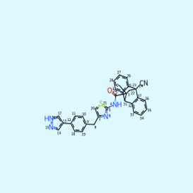 CC1(C(=O)Nc2nc(Cc3ccc(-c4cn[nH]c4)cc3)cs2)CC2(C#N)c3ccccc3C1c1ccccc12